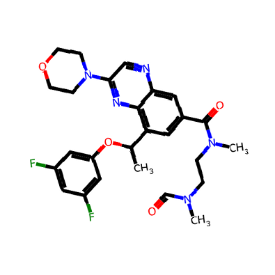 CC(Oc1cc(F)cc(F)c1)c1cc(C(=O)N(C)CCN(C)C=O)cc2ncc(N3CCOCC3)nc12